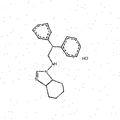 C1=NC2CCCCC2N1NCC(c1ccccc1)c1ccccc1.Cl